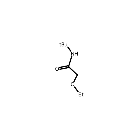 CCOCC(=O)NC(C)(C)C